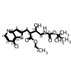 CCOC(=O)C(Cc1cc2nccc(Cl)c2s1)C(O)CNC(=O)OC(C)(C)C